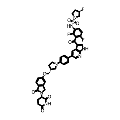 O=C1CCC(N2Cc3cc(OC[C@@H]4CCN(c5ccc(-c6cnc7[nH]cc(C(=O)c8c(F)ccc(NS(=O)(=O)N9CC[C@@H](F)C9)c8F)c7c6)cc5)C4)ccc3C2=O)C(=O)N1